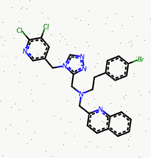 Clc1cc(Cn2cnnc2CN(CCc2ccc(Br)cc2)Cc2ccc3ccccc3n2)cnc1Cl